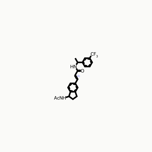 CC(=O)NC1CCc2cc(/C=C/C(=O)NC(C)c3cccc(C(F)(F)F)c3)ccc21